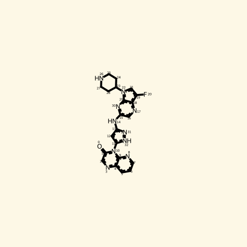 O=c1cnc2cccnc2n1-c1cc(Nc2cnc3c(F)cn(C4CCNCC4)c3n2)n[nH]1